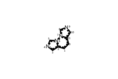 c1cc2cncn2n2cncc12